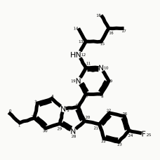 CCc1ccn2c(-c3ccnc(NC(C)CC(C)C)n3)c(-c3ccc(F)cc3)nc2c1